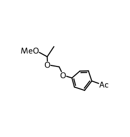 COC(C)OCOc1ccc(C(C)=O)cc1